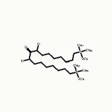 CCC(CCCCCCC[Si](OC)(OC)OC)C(=O)C(CC)CCCCCCC[Si](OC)(OC)OC